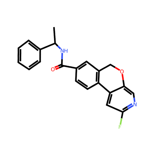 CC(NC(=O)c1ccc2c(c1)COc1cnc(F)cc1-2)c1ccccc1